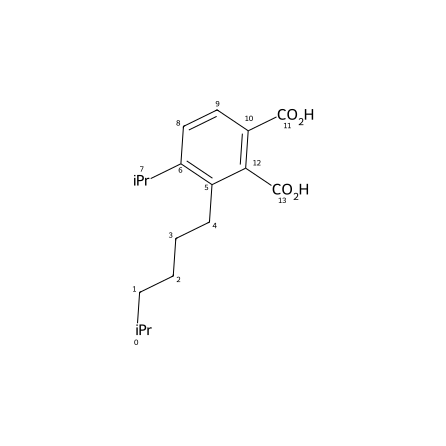 CC(C)CCCCc1c(C(C)C)ccc(C(=O)O)c1C(=O)O